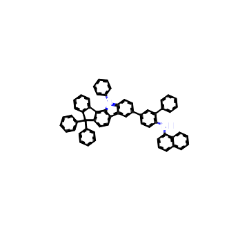 c1ccc(-c2cc(-c3ccc4c(c3)c3ccc5c(c3n4-c3ccccc3)-c3ccccc3C5(c3ccccc3)c3ccccc3)ccc2Nc2cccc3ccccc23)cc1